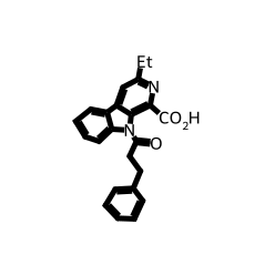 CCc1cc2c3ccccc3n(C(=O)CCc3ccccc3)c2c(C(=O)O)n1